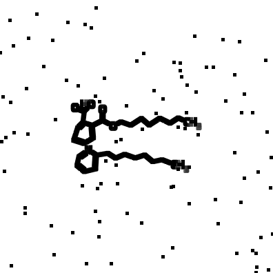 CCCCCCCCOC(=O)c1ccccc1C(=O)O.CCCCCCCCc1ccccn1